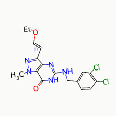 CCO/C=C/c1nn(C)c2c(=O)[nH]c(NCc3ccc(Cl)c(Cl)c3)nc12